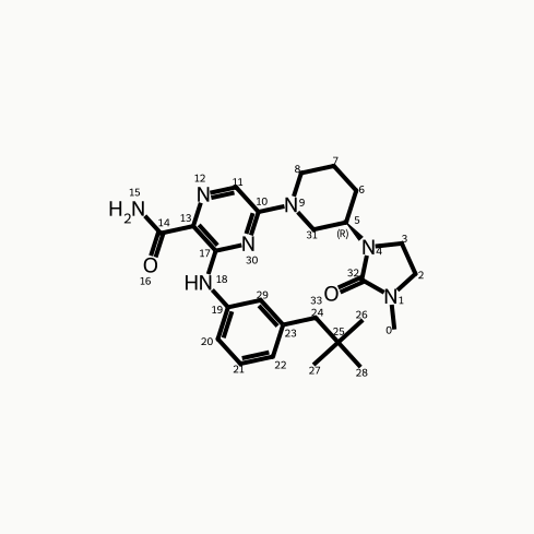 CN1CCN([C@@H]2CCCN(c3cnc(C(N)=O)c(Nc4cccc(CC(C)(C)C)c4)n3)C2)C1=O